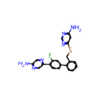 Nc1cnc(-c2ccc(-c3ccccc3CSc3cc(N)ncn3)cc2F)cn1